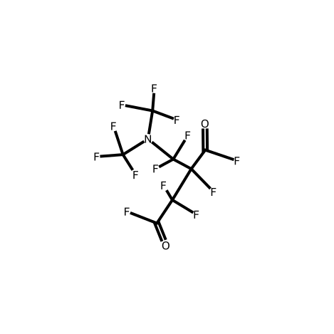 O=C(F)C(F)(F)C(F)(C(=O)F)C(F)(F)N(C(F)(F)F)C(F)(F)F